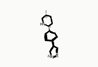 C[C@@H]1CC[C@@H](c2ccc(-c3cn[nH]c3)cc2)NC1